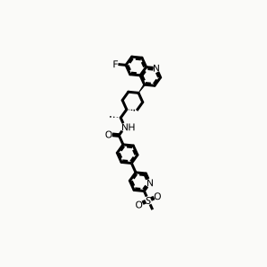 C[C@@H](NC(=O)c1ccc(-c2ccc(S(C)(=O)=O)nc2)cc1)[C@H]1CC[C@H](c2ccnc3ccc(F)cc32)CC1